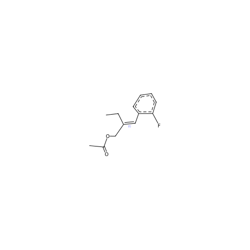 CC/C(=C\c1ccccc1F)COC(C)=O